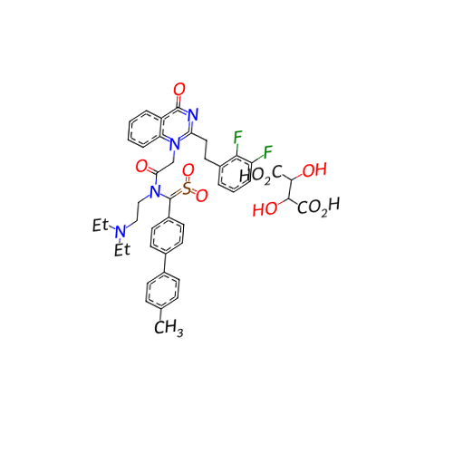 CCN(CC)CCN(C(=O)Cn1c(CCc2cccc(F)c2F)nc(=O)c2ccccc21)C(c1ccc(-c2ccc(C)cc2)cc1)=S(=O)=O.O=C(O)C(O)C(O)C(=O)O